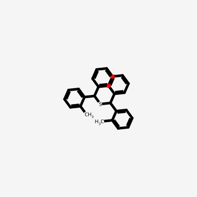 Cc1ccccc1C(SC(c1ccccc1)c1ccccc1C)c1ccccc1